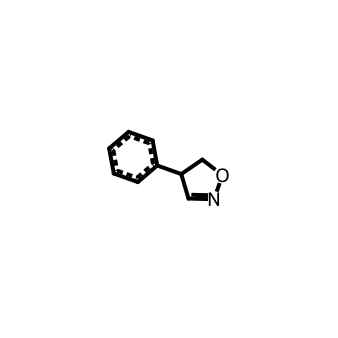 C1=NOCC1c1ccccc1